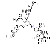 COC(=O)CN/C=C(/COc1cc(/C=C/c2cc3c(c(OC)c2)O[C@]2(C)C[C@@H](O)[C@@H](O)C(C)(C)[C@H]2C3)cc(OCc2cn(CC(=O)OC)nn2)c1CC=C(C)C)N=N